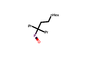 CCCCCCCCC(P=O)(C(C)C)C(C)C